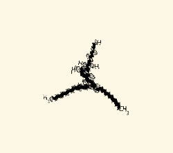 CCCCCCCCCCCCCC(=O)OC(CCC(CC(=O)O)C(=O)OCC(O)C(O)COC(=O)CCC(=O)OCCS)OC(=O)CCCCCCCCCCCCC